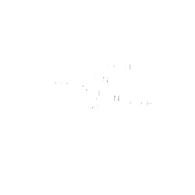 O=C(O)c1cccc(P(=O)(c2cccc(C(=O)O)n2)c2cccc(C(=O)O)n2)n1.[Gd]